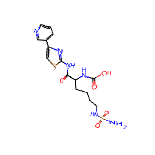 NS(=O)(=O)NCCCCC(NC(=O)O)C(=O)Nc1nc(-c2cccnc2)cs1